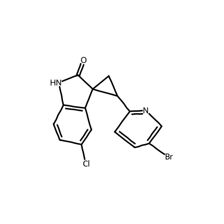 O=C1Nc2ccc(Cl)cc2C12CC2c1ccc(Br)cn1